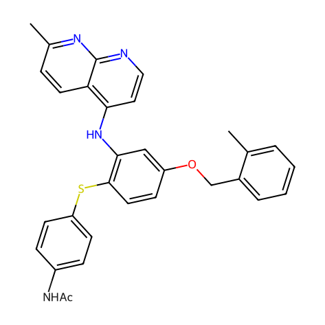 CC(=O)Nc1ccc(Sc2ccc(OCc3ccccc3C)cc2Nc2ccnc3nc(C)ccc23)cc1